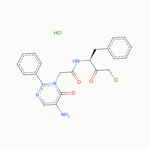 Cl.Nc1cnc(-c2ccccc2)n(CC(=O)N[C@@H](Cc2ccccc2)C(=O)CCl)c1=O